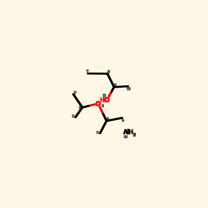 CC(C)OC(C)C.CCC(C)O.[AlH3]